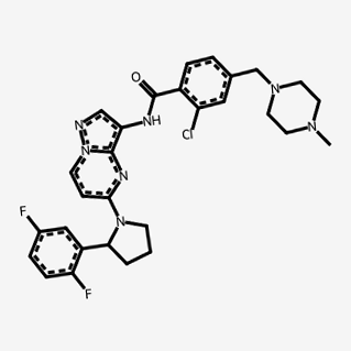 CN1CCN(Cc2ccc(C(=O)Nc3cnn4ccc(N5CCCC5c5cc(F)ccc5F)nc34)c(Cl)c2)CC1